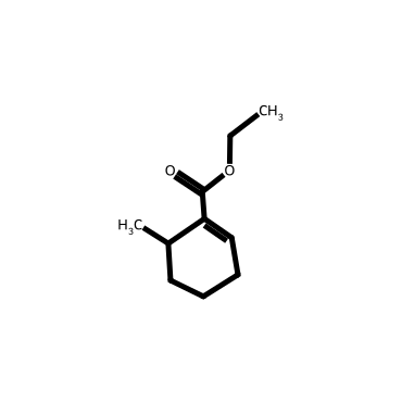 CCOC(=O)C1=CCCCC1C